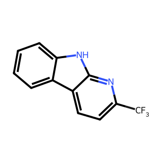 FC(F)(F)c1ccc2c(n1)[nH]c1ccccc12